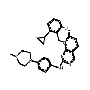 CN1CCN(c2ccc(Nc3ncc4ccc(=O)n(Cc5c(Cl)cccc5C5CC5)c4n3)cc2)CC1